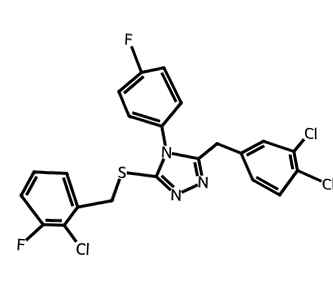 Fc1ccc(-n2c(Cc3ccc(Cl)c(Cl)c3)nnc2SCc2cccc(F)c2Cl)cc1